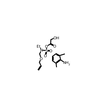 C=CCOCN(CC)S(=O)(=O)OC(=O)CO.Cc1cccc(C)c1N